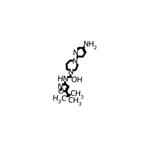 CC(C)(C)c1cc(NC(O)N2CCCN(C3CC=C(N)C=N3)CC2)no1